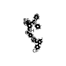 CC1(C)CCC(c2ccc(Cl)cc2)=C(CN2CCN(c3ccc(C(=O)NCc4ccc(CC(CCN5CCOCC5)CSc5ccccc5)c(S(=O)(=O)C(F)(F)F)c4)cc3)CC2)C1